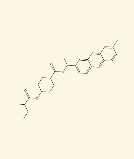 CCC(C)C(=O)OC1CCC(C(=O)OC(C)c2ccc3cc4ccc(C)cc4cc3c2)CC1